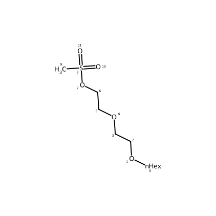 CCCCCCOCCOCCOS(C)(=O)=O